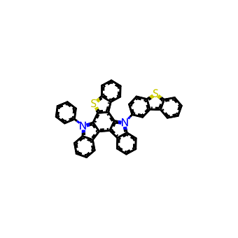 c1ccc(-n2c3ccccc3c3c4c5ccccc5n(-c5ccc6sc7ccccc7c6c5)c4c4c5ccccc5sc4c32)cc1